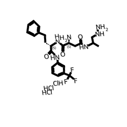 CC(CNN)NC(=O)C[C@H](N)C(=O)N[C@@H](CCc1ccccc1)C(=O)Nc1cccc(C(F)(F)F)c1.Cl.Cl.Cl